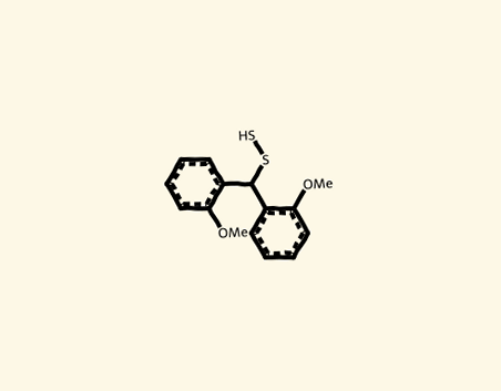 COc1ccccc1C(SS)c1ccccc1OC